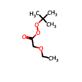 CCOCC(=O)OOC(C)(C)C